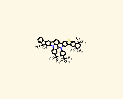 CC(C)(C)c1ccc(N2B3c4cc(C(C)(C)C)ccc4-n4c5cc6c(cc5c5ccc(c3c54)-c3cc4sc5cc7c(cc5c4cc32)C(C)(C)CCC7(C)C)-c2ccccc2C6(C)C)cc1